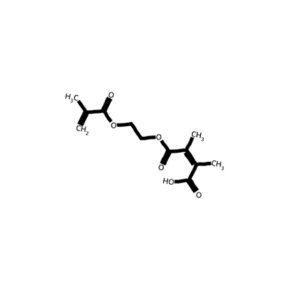 C=C(C)C(=O)OCCOC(=O)/C(C)=C(/C)C(=O)O